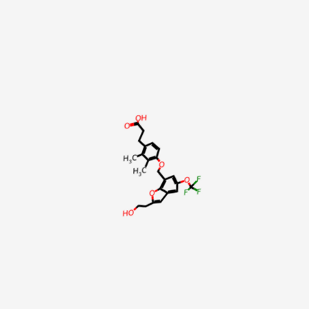 Cc1c(CCC(=O)O)ccc(OCc2cc(OC(F)(F)F)cc3cc(CCO)oc23)c1C